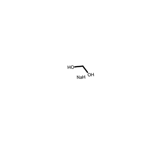 OCO.[NaH]